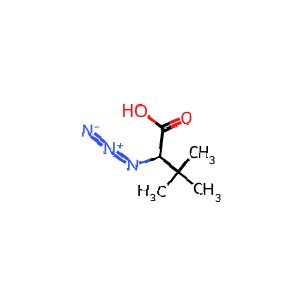 CC(C)(C)C(N=[N+]=[N-])C(=O)O